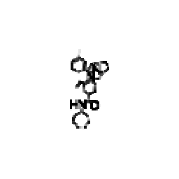 C=CCN1CCC2CCC(C1)N2C(C1=CCC(C(=O)NC2CCCCCC2)C=C1)C1=CC(C)=CCC1